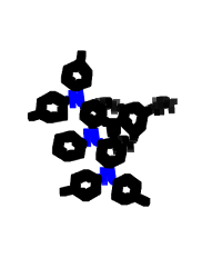 Cc1ccc(N(c2ccc(C)cc2)c2ccc3c(c2)N(c2ccccc2)c2cc(N(c4ccc(C)cc4)c4ccc(C)cc4)ccc2B3c2c(C(C)C)cc(C(C)C)cc2C(C)C)cc1